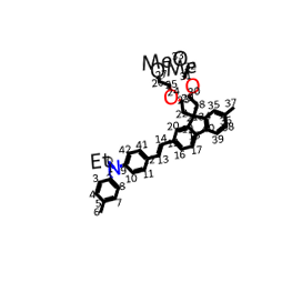 CCN(c1ccc(C)cc1)c1ccc(/C=C/c2ccc3c(c2)C(CCOCCOC)(CCOCCOC)c2cc(C)ccc2-3)cc1